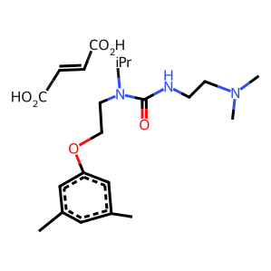 Cc1cc(C)cc(OCCN(C(=O)NCCN(C)C)C(C)C)c1.O=C(O)C=CC(=O)O